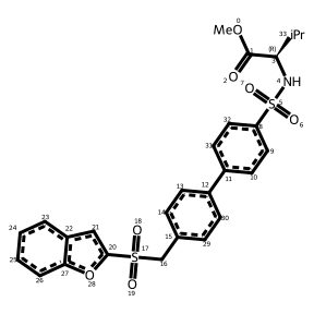 COC(=O)[C@H](NS(=O)(=O)c1ccc(-c2ccc(CS(=O)(=O)c3cc4ccccc4o3)cc2)cc1)C(C)C